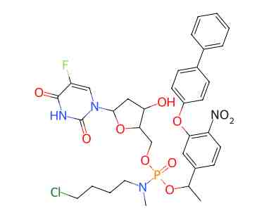 CC(OP(=O)(OCC1OC(n2cc(F)c(=O)[nH]c2=O)CC1O)N(C)CCCCCl)c1ccc([N+](=O)[O-])c(Oc2ccc(-c3ccccc3)cc2)c1